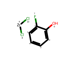 Oc1ccccc1F.[Cl][Zr][Cl]